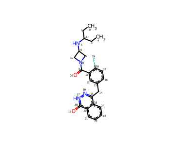 CCC(CC)NC1CN(C(=O)c2cc(Cc3n[nH]c(=O)c4ccccc34)ccc2F)C1